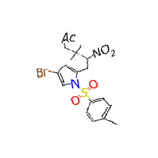 CC(=O)CC(C)(C)C(Cc1cc(Br)cn1S(=O)(=O)c1ccc(C)cc1)[N+](=O)[O-]